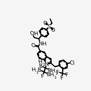 BC(B)(F)C(B)(B)n1c(Cc2ccc(Cl)cc2C(F)(F)F)cc2cc(C(=O)NC(CO)c3ccc(S(=O)(=O)CC)cc3)ccc21